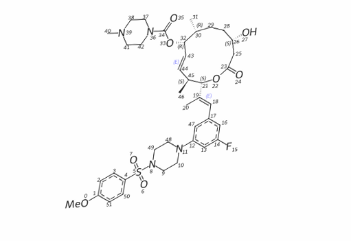 COc1ccc(S(=O)(=O)N2CCN(c3cc(F)cc(/C=C(\C)[C@H]4OC(=O)C[C@@H](O)CC[C@@H](C)[C@@H](OC(=O)N5CCN(C)CC5)/C=C/[C@@H]4C)c3)CC2)cc1